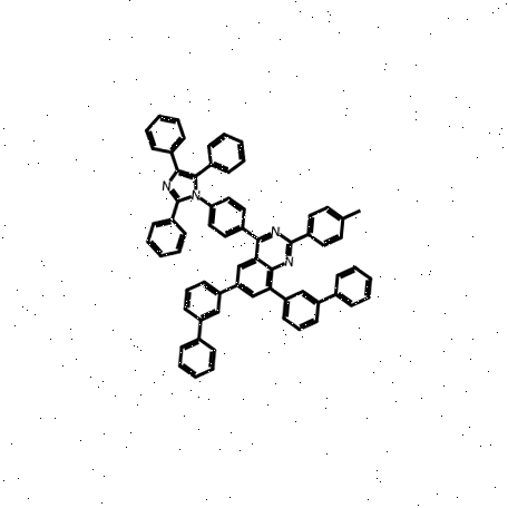 Cc1ccc(-c2nc(-c3ccc(-n4c(-c5ccccc5)nc(-c5ccccc5)c4-c4ccccc4)cc3)c3cc(-c4cccc(-c5ccccc5)c4)cc(-c4cccc(-c5ccccc5)c4)c3n2)cc1